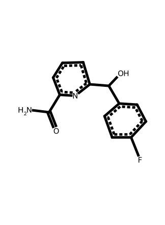 NC(=O)c1cccc(C(O)c2ccc(F)cc2)n1